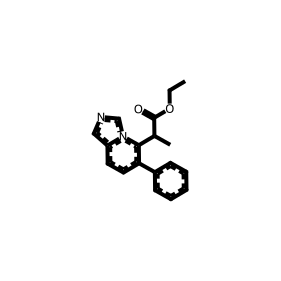 CCOC(=O)C(C)c1c(-c2ccccc2)ccc2cncn12